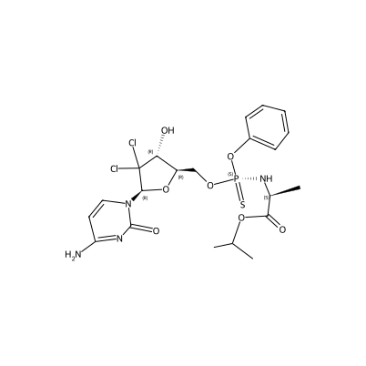 CC(C)OC(=O)[C@H](C)N[P@](=S)(OC[C@H]1O[C@@H](n2ccc(N)nc2=O)C(Cl)(Cl)[C@@H]1O)Oc1ccccc1